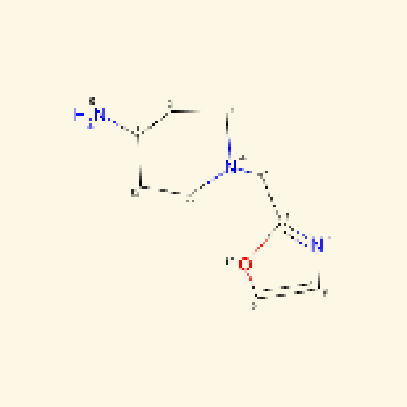 NC1CCN(Cc2ncco2)CC1